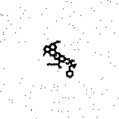 [2H]C([2H])(Oc1nc(C(CC)CCCCC)c2c(n1)=CN(c1cc(O)cc3ccc(F)c(CC)c13)NC=2)C1(CN2CCOCC2)CC1